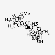 COC(=O)C[C@@H]1N=C(c2ccc(-c3ccc(OCC(=O)N[C@H](C(=O)N4C[C@H](O)C[C@H]4C(=O)N[C@@H](C)c4ccc(-c5scnc5C)cc4)C(C)(C)C)cc3C(F)(F)F)cc2)c2c(sc(C)c2C)-n2c(C)nnc21